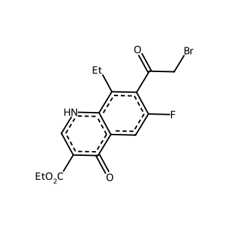 CCOC(=O)c1c[nH]c2c(CC)c(C(=O)CBr)c(F)cc2c1=O